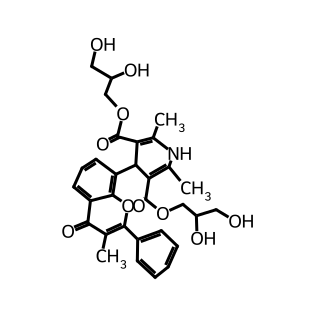 CC1=C(C(=O)OCC(O)CO)C(c2cccc3c(=O)c(C)c(-c4ccccc4)oc23)C(C(=O)OCC(O)CO)=C(C)N1